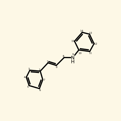 C(=Cc1ccccc1)CNc1ccccc1